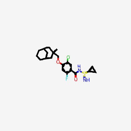 CC1(COc2cc(F)c(C(=O)NS(=N)C3CC3)cc2Cl)CC2CCCC(C2)C1